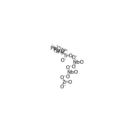 [Mg+2].[O]=[Nb](=[O])[O-].[O]=[Nb](=[O])[O-].[O]=[Ti]([O-])[O-].[O]=[Zr]([O-])[O-].[Pb+2].[Pb+2]